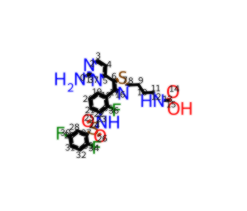 Nc1nccc(-c2sc(CCCNC(=O)O)nc2-c2cccc(NS(=O)(=O)c3cc(F)ccc3F)c2F)n1